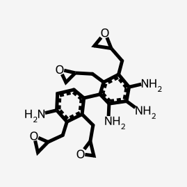 Nc1ccc(-c2c(N)c(N)c(N)c(CC3CO3)c2CC2CO2)c(CC2CO2)c1CC1CO1